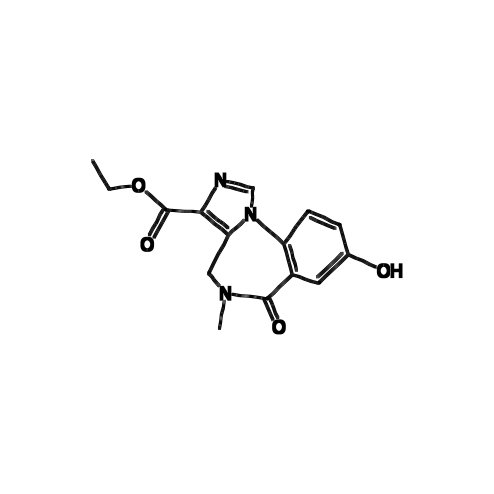 CCOC(=O)c1ncn2c1CN(C)C(=O)c1cc(O)ccc1-2